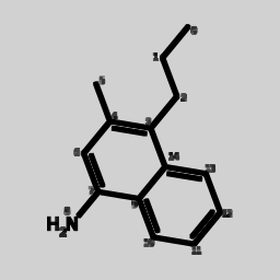 CCCc1c(C)cc(N)c2ccccc12